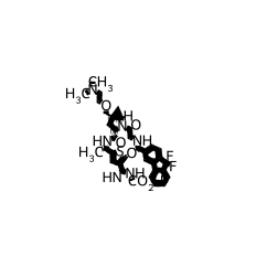 C[C@@H](NC(=O)[C@@H]1C[C@]2(COCCN(C)C)C[C@@H]2N1C(=O)CNC(=O)c1ccc2c(c1)-c1ccccc1C2(F)F)c1cc(C(=N)NC(=O)O)cs1